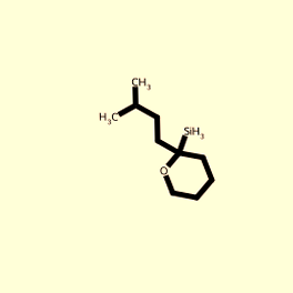 CC(C)CCC1([SiH3])CCCCO1